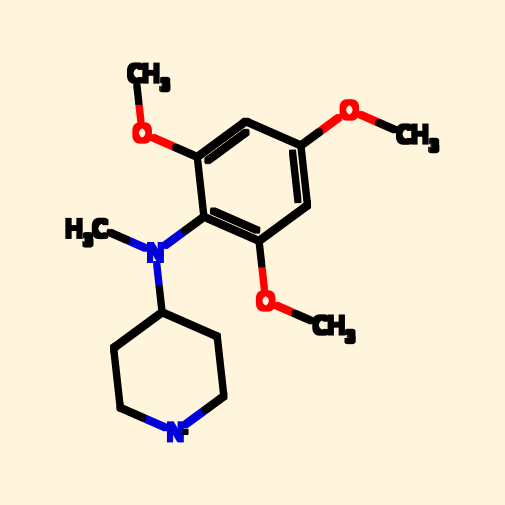 COc1cc(OC)c(N(C)C2CC[N]CC2)c(OC)c1